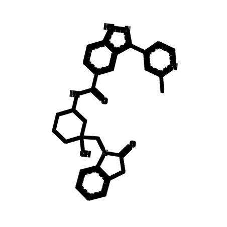 Cc1cc(-c2n[nH]c3ccc(C(=O)NC4CCCC(O)(CN5C(=O)Cc6ccccc65)C4)cc23)ccn1